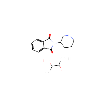 O=C(O)C(O)C(O)C(=O)O.O=C1c2ccccc2C(=O)N1C1CCCNC1